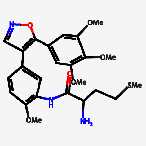 COc1ccc(-c2cnoc2-c2cc(OC)c(OC)c(OC)c2)cc1NC(=O)C(N)CCSC